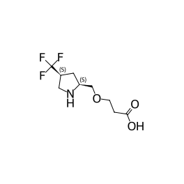 O=C(O)CCOC[C@@H]1C[C@H](C(F)(F)F)CN1